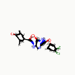 Cc1cc(-c2nc3cnc(Oc4ccc(Cl)c(F)c4)nc3o2)cc(C)c1[O]